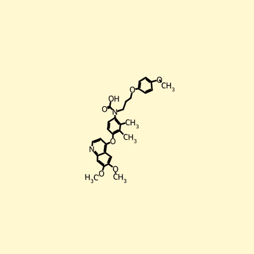 COc1ccc(OCCCN(C(=O)O)c2ccc(Oc3ccnc4cc(OC)c(OC)cc34)c(C)c2C)cc1